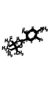 CC1(C)OB(c2cc(F)c(N)cc2F)OC1(C)C